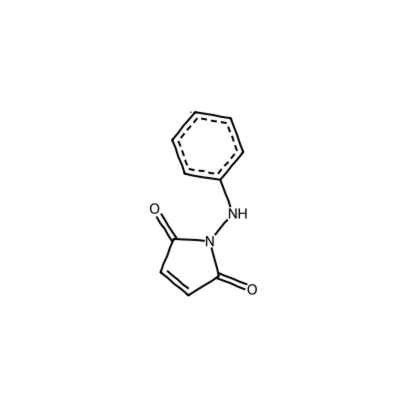 O=C1C=CC(=O)N1Nc1cc[c]cc1